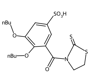 CCCCOc1cc(S(=O)(=O)O)cc(C(=O)N2CCSC2=S)c1OCCCC